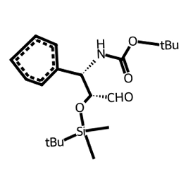 CC(C)(C)OC(=O)N[C@@H](c1ccccc1)[C@H](C=O)O[Si](C)(C)C(C)(C)C